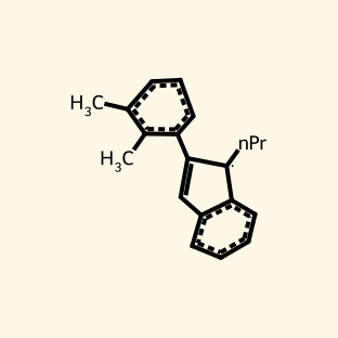 CCC[C]1C(c2cccc(C)c2C)=Cc2ccccc21